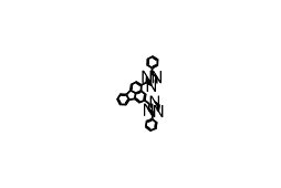 c1ccc(-c2ncnc(-c3cc4c5c(ccc(-c6ncnc(-c7ccccc7)n6)c5c3)-c3ccccc3-4)n2)cc1